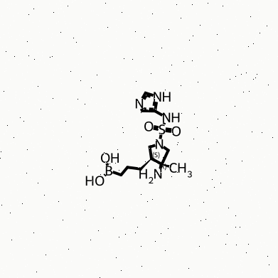 C[C@]1(N)CN(S(=O)(=O)Nc2cnc[nH]2)C[C@@H]1CCCB(O)O